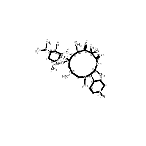 CO[C@]1(C)C[C@@H](C)CN(C)[C@H](C2CCN(C(C)C)CC2)[C@H](C)OC(=O)C(C)(C)C(=O)[C@H](C)[C@H]1O[C@@H]1O[C@H](C)C[C@H](N(C)C)[C@H]1O